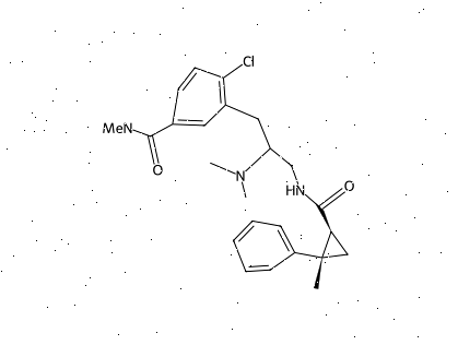 CNC(=O)c1ccc(Cl)c(CC(CNC(=O)[C@H]2C[C@]2(C)c2ccccc2)N(C)C)c1